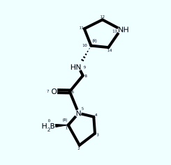 B[C@@H]1CCCN1C(=O)CN[C@@H]1CCNC1